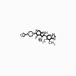 Cc1c(-c2[nH]c3cnc(N4CCN(C5COC5)CC4)c(F)c3c2C(C)C)cn2ncnc2c1C